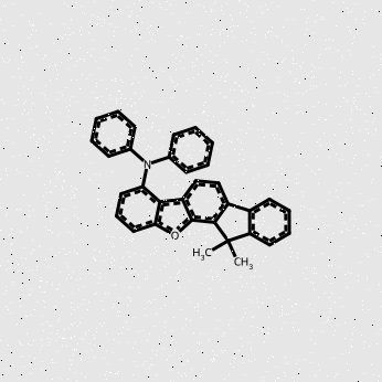 CC1(C)c2ccccc2-c2ccc3c(oc4cccc(N(c5ccccc5)c5ccccc5)c43)c21